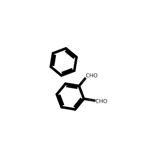 O=Cc1ccccc1C=O.c1ccccc1